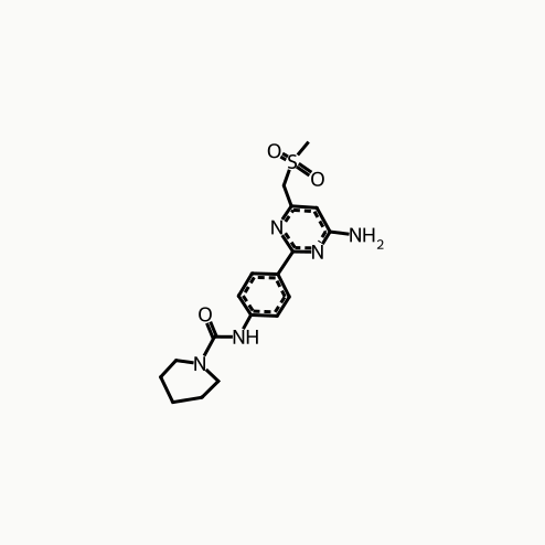 CS(=O)(=O)Cc1cc(N)nc(-c2ccc(NC(=O)N3CCCCC3)cc2)n1